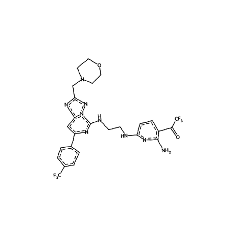 Nc1nc(NCCNc2nc(-c3ccc(C(F)(F)F)cc3)cc3nc(CN4CCOCC4)nn23)ccc1C(=O)C(F)(F)F